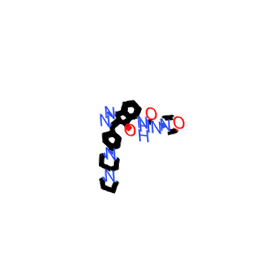 O=C(Nc1cccc2c1C(=O)C1=C(c3ccc(N4CCC(N5CCCC5)CC4)cc3)N=NC12)NN1CCOCC1